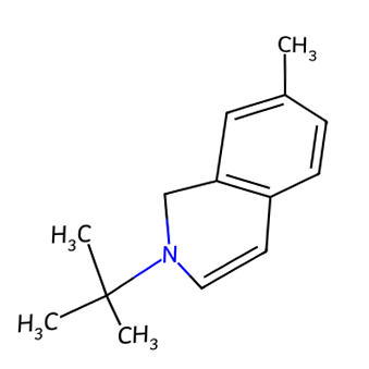 Cc1ccc2c(c1)CN(C(C)(C)C)C=C2